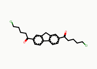 O=C(CCCCCl)c1ccc2c(c1)Cc1cc(C(=O)CCCCCl)ccc1-2